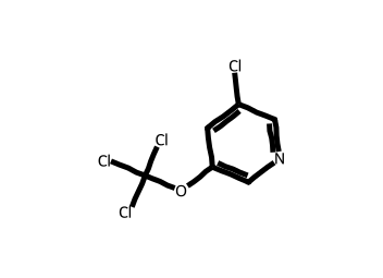 Clc1cncc(OC(Cl)(Cl)Cl)c1